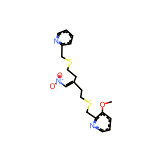 COc1cccnc1CSCCC(=C[N+](=O)[O-])CCSCc1ccccn1